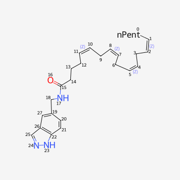 CCCCC/C=C\C/C=C\C/C=C\C/C=C\CCCC(=O)NCc1ccc2[nH]ncc2c1